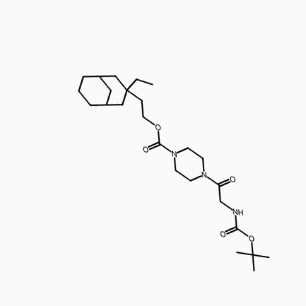 CCC1(CCOC(=O)N2CCN(C(=O)CNC(=O)OC(C)(C)C)CC2)CC2CCCC(C2)C1